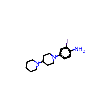 Nc1ccc(N2CCC(N3CCCCC3)CC2)cc1I